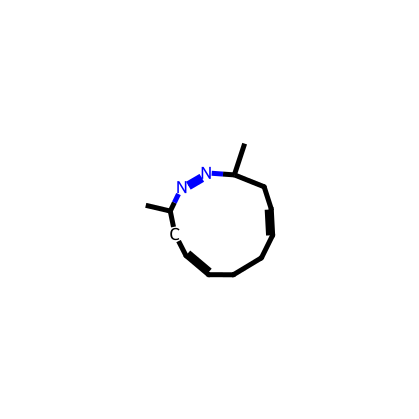 CC1CC=CCCC=CCC(C)N=N1